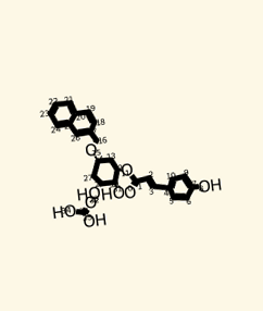 O=C(/C=C/c1ccc(O)cc1)O[C@@H]1C[C@@H](OCc2ccc3ccccc3c2)C[C@H](O)[C@H]1O.O=C(O)O